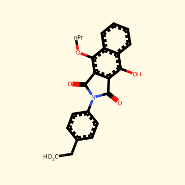 CCCOc1c2c(c(O)c3ccccc13)C(=O)N(c1ccc(CC(=O)O)cc1)C2=O